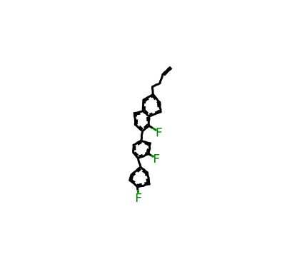 C=CCCc1ccc2c(F)c(-c3ccc(-c4ccc(F)cc4)c(F)c3)ccc2c1